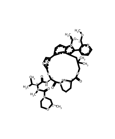 CCn1c(-c2cccnc2[C@H](C)OC)c2c3cc(ccc31)-c1csc(n1)C[C@H](NC(=O)[C@H](C(C)C)N(C)C(=O)N1CCO[C@@H](C)C1)C(=O)N1CCC[C@H](N1)C(=O)OCC(C)(C)C2